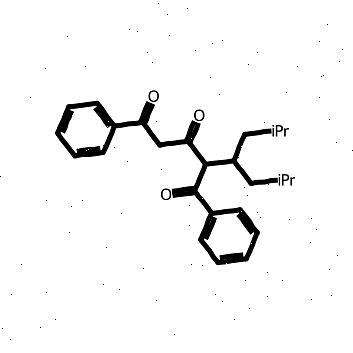 CC(C)CC(CC(C)C)C(C(=O)CC(=O)c1ccccc1)C(=O)c1ccccc1